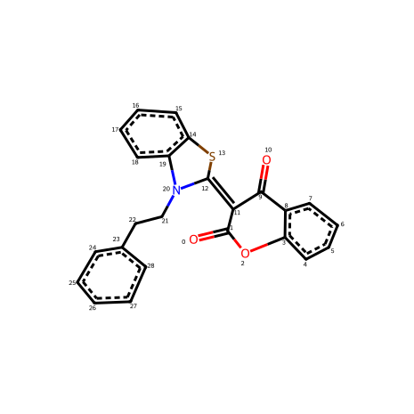 O=C1Oc2ccccc2C(=O)C1=C1Sc2ccccc2N1CCc1ccccc1